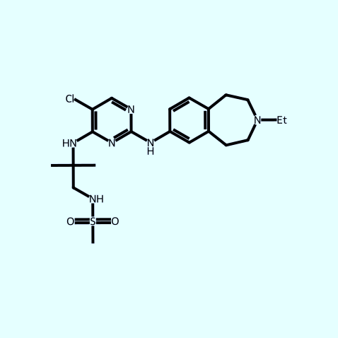 CCN1CCc2ccc(Nc3ncc(Cl)c(NC(C)(C)CNS(C)(=O)=O)n3)cc2CC1